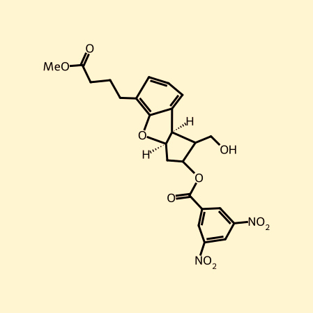 COC(=O)CCCc1cccc2c1O[C@@H]1CC(OC(=O)c3cc([N+](=O)[O-])cc([N+](=O)[O-])c3)C(CO)[C@H]21